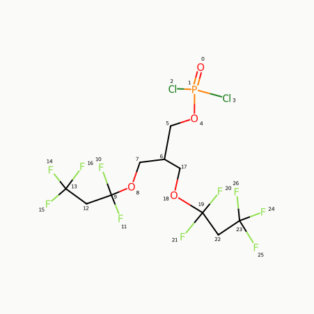 O=P(Cl)(Cl)OCC(COC(F)(F)CC(F)(F)F)COC(F)(F)CC(F)(F)F